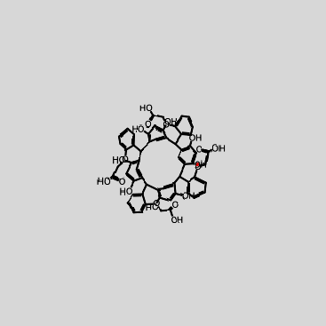 O=C(O)COc1ccccc1C1c2cc(c(O)cc2O)C(c2ccccc2OCC(=O)O)c2cc(c(O)cc2O)C(c2ccccc2OCC(=O)O)c2cc(c(O)cc2O)C(c2ccccc2OCC(=O)O)c2cc1c(O)cc2O